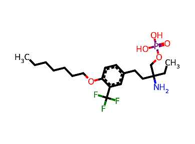 CCCCCCCOc1ccc(CCC(N)(CC)COP(=O)(O)O)cc1C(F)(F)F